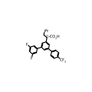 CC(C)C[C@H](C(=O)O)c1cc(-c2ccc(C(F)(F)F)cc2)cc(-c2cc(F)cc(F)c2)c1